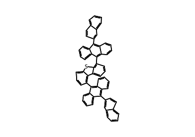 c1ccc2cc(-c3c4ccccc4c(-c4cccc5c4sc4cccc(-c6c7ccccc7c(-c7ccc8ccccc8c7)c7ccccc67)c45)c4ccccc34)ccc2c1